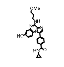 COCCCNc1nc2cc(C#N)ccc2n2c(-c3ccc(C(=O)NC4CC4)cc3)cnc12